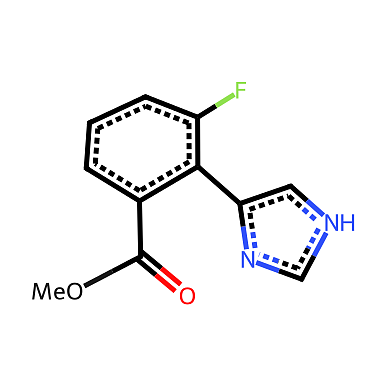 COC(=O)c1cccc(F)c1-c1c[nH]cn1